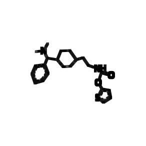 CN(C)C(c1ccccc1)C1CCC(CCNC(=O)Oc2cccs2)CC1